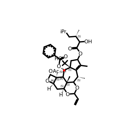 C=CC1OC2[C@@H](C)C3=C(C)C(OC(=O)C(O)[C@@H](C)CC(C)C)C[C@@]3(C(C)(C)O)[C@@H](OC(=O)c3ccccc3)[C@@H]3[C@]4(OC(C)=O)CO[C@@H]4C[C@H](O1)[C@@]23C